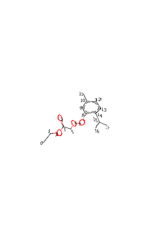 CCOC(=O)COOc1cc(C)ccc1C(C)C